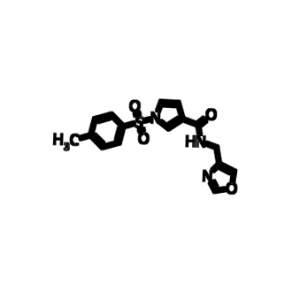 Cc1ccc(S(=O)(=O)n2ccc(C(=O)NCc3cocn3)c2)cc1